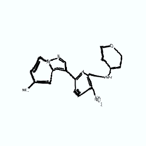 N#Cc1ccn2ncc(-c3ccc([N+](=O)[O-])c(NC4CCOCC4)n3)c2c1